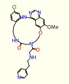 COc1cc2ncnc3c2cc1OCCN(C(=O)CNCCc1ccncc1)CC(=O)NCCCc1ccc(Cl)cc1N3